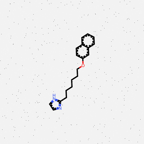 c1ccc2cc(OCCCCCCc3ncc[nH]3)ccc2c1